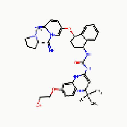 CN1CCC[C@H]1C(=N)n1cc(O[C@@H]2CC[C@H](NC(=O)N/C(=C/C(=N)C(C)(C)C)Nc3cccc(OCCO)c3)c3ccccc32)ccc1=N